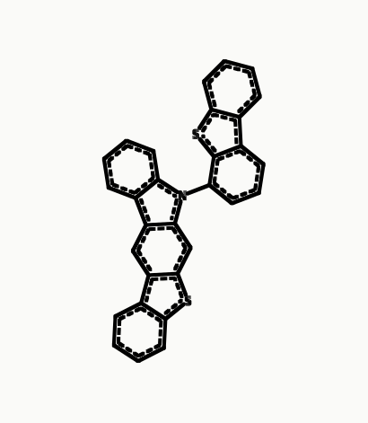 c1ccc2c(c1)sc1cc3c(cc12)c1ccccc1n3-c1cccc2c1sc1ccccc12